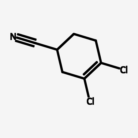 N#CC1CCC(Cl)=C(Cl)C1